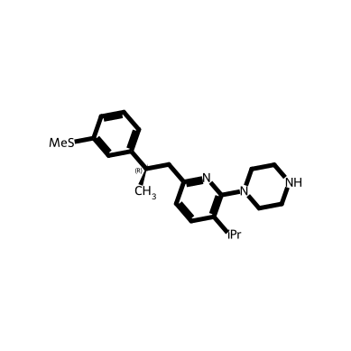 CSc1cccc([C@H](C)Cc2ccc(C(C)C)c(N3CCNCC3)n2)c1